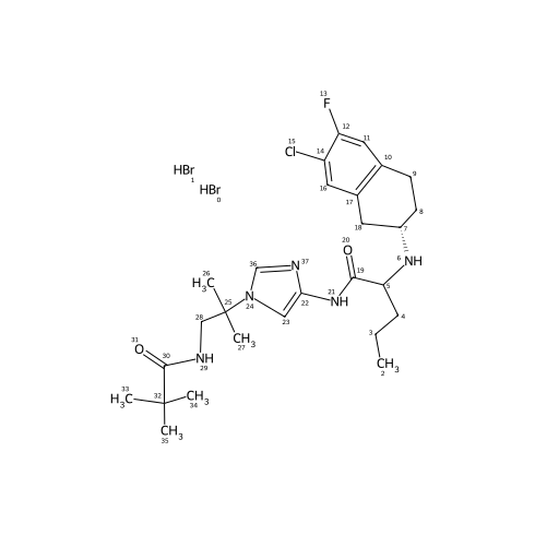 Br.Br.CCCC(N[C@H]1CCc2cc(F)c(Cl)cc2C1)C(=O)Nc1cn(C(C)(C)CNC(=O)C(C)(C)C)cn1